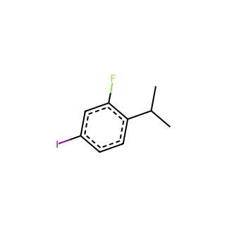 CC(C)c1ccc(I)cc1F